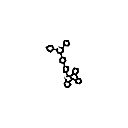 c1ccc(-c2cc(-c3ccc(-c4ccc(-c5nc6ccccc6c6c7ccccc7c7ccccc7c56)cc4)cc3)cc(-c3ccccc3)n2)cc1